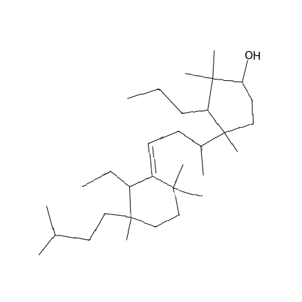 CCCC1C(C)(C)C(O)CCC1(C)C(C)C/C=C1/C(CC)C(C)(CCC(C)C)CCC1(C)C